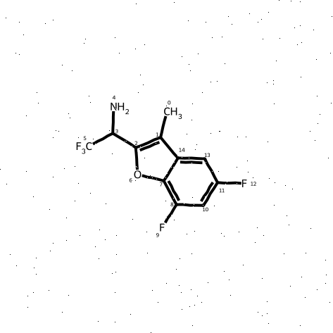 Cc1c(C(N)C(F)(F)F)oc2c(F)cc(F)cc12